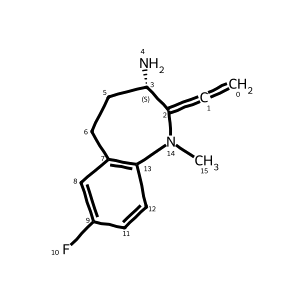 C=C=C1[C@@H](N)CCc2cc(F)ccc2N1C